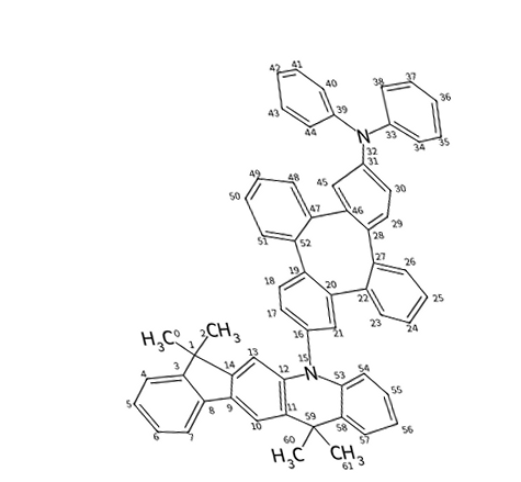 CC1(C)c2ccccc2-c2cc3c(cc21)N(c1ccc2c(c1)-c1ccccc1-c1ccc(N(c4ccccc4)c4ccccc4)cc1-c1ccccc1-2)c1ccccc1C3(C)C